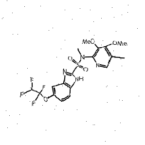 COc1c(C)cnc(N(C)S(=O)(=O)c2nc3cc(OC(F)(F)C(F)F)ccc3[nH]2)c1OC